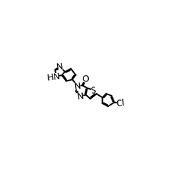 O=c1c2sc(-c3ccc(Cl)cc3)cc2ncn1-c1ccc2nc[nH]c2c1